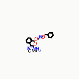 CO/N=C(\C(N)=O)c1ccccc1CO/C=N/OCc1ccccc1